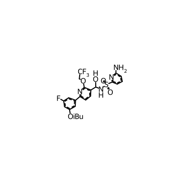 CC(C)COc1cc(F)cc(-c2ccc(C(O)NS(=O)(=O)c3cccc(N)n3)c(OCC(F)(F)F)n2)c1